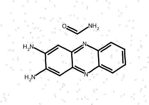 NC=O.Nc1cc2nc3ccccc3nc2cc1N